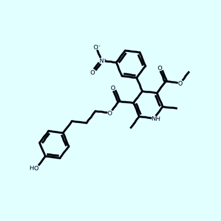 COC(=O)C1=C(C)NC(C)=C(C(=O)OCCCc2ccc(O)cc2)C1c1cccc([N+](=O)[O-])c1